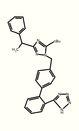 CCCCc1nc(C(C)c2ccccc2)nn1Cc1ccc(-c2ccccc2-c2nnn[nH]2)cc1